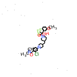 COc1cccc([C@@](O)(C(=O)N2CCCC(CC3CCN(c4ccc(C(=O)N(C)C)c(Cl)c4)CC3)CC2)C(F)(F)F)c1